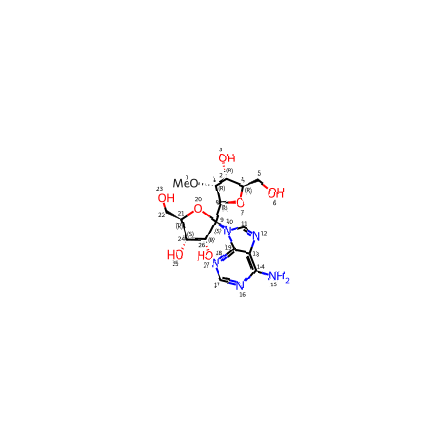 CO[C@@H]1[C@H](O)[C@@H](CO)O[C@H]1[C@@]1(n2cnc3c(N)ncnc32)O[C@H](CO)[C@@H](O)[C@H]1O